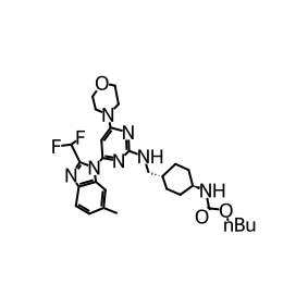 CCCCOC(=O)N[C@H]1CC[C@H](CNc2nc(N3CCOCC3)cc(-n3c(C(F)F)nc4ccc(C)cc43)n2)CC1